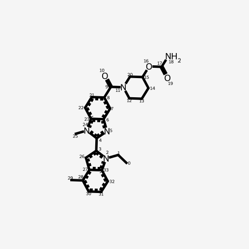 CCn1c(-c2nc3cc(C(=O)N4CCCC(OC(N)=O)C4)ccc3n2C)cc2c(C)cccc21